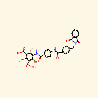 O=C(Nc1ccc(C(=O)Nc2c(Br)c(C(=O)O)c(Br)c(C(=O)O)c2Br)cc1)c1ccc(CN2C(=O)c3ccccc3C2=O)cc1